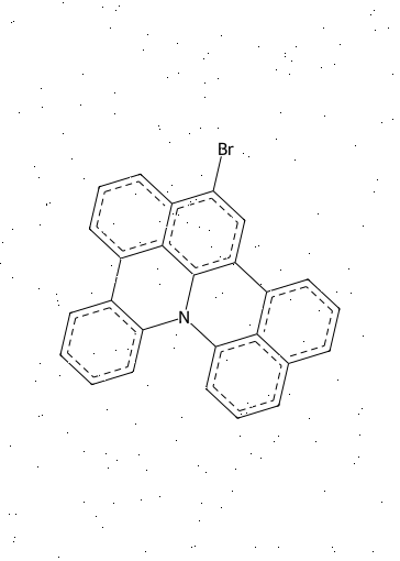 Brc1cc2c3c4c(cccc14)-c1ccccc1N3c1cccc3cccc-2c13